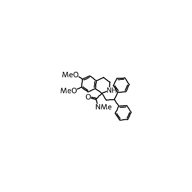 CNC(=O)C1(CC(c2ccccc2)c2ccccc2)NCCc2cc(OC)c(OC)cc21